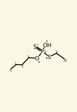 CCCCOP(O)(=S)SCC